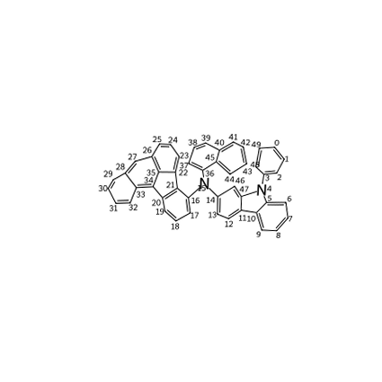 c1ccc(-n2c3ccccc3c3ccc(N(c4cccc5c4-c4cccc6cc7ccccc7c-5c46)c4cccc5ccccc45)cc32)cc1